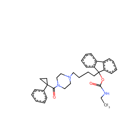 O=C(NCC(F)(F)F)OC1(CCCCN2CCN(C(=O)C3(c4ccccc4)CC3)CC2)c2ccccc2-c2ccccc21